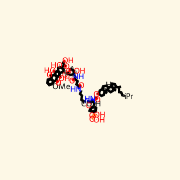 COc1cccc2c1C(=O)c1c(O)c3c(c(O)c1C2=O)C[C@@](O)(C(=O)CO)C[C@@H]3O[C@H]1C[C@H](NC(=O)CCC(=O)NCCCC[C@@H](NC(=O)C(Cc2ccc(OP(=O)(O)O)cc2)NC(=O)OC2CCC3(C)C(=CCC4[C@@H]3CCC3(C)C(C(C)CCCC(C)C)CC[C@@H]43)C2)C(=O)O)[C@H](O)[C@H](C)O1